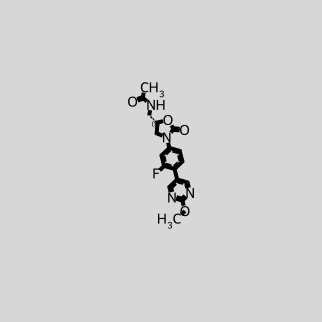 COc1ncc(-c2ccc(N3C[C@H](CNC(C)=O)OC3=O)cc2F)cn1